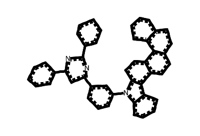 c1ccc(-c2cc(-c3cccc(-n4c5ccccc5c5c6ccc7ccc8ccccc8c7c6ccc54)c3)nc(-c3ccccc3)n2)cc1